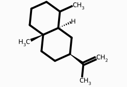 C=C(C)[C@H]1CC[C@]2(C)CCCC(C)[C@H]2C1